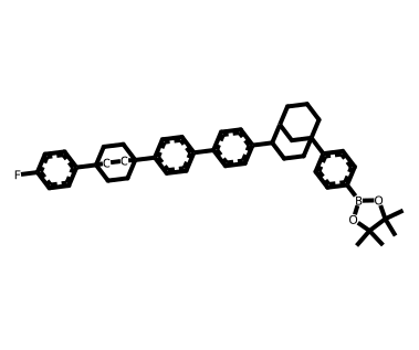 CC1(C)OB(c2ccc(C34CCCC(C3)C(c3ccc(-c5ccc(C67CCC(c8ccc(F)cc8)(CC6)CC7)cc5)cc3)CC4)cc2)OC1(C)C